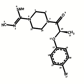 CS/C(=N\C#N)N1CCN(C(=O)[C@@H](C)Oc2ccc(Br)cc2)CC1